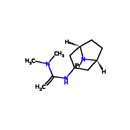 C=C(NC1C[C@H]2CC[C@@H](C1)N2C(C)C)N(C)C